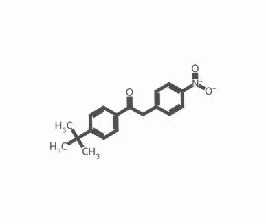 CC(C)(C)c1ccc(C(=O)Cc2ccc([N+](=O)[O-])cc2)cc1